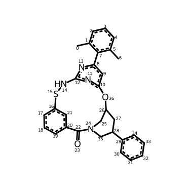 Cc1cccc(C)c1-c1cc2nc(n1)NSc1cccc(c1)C(=O)N1CC(CC(c3ccccc3)C1)O2